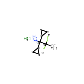 Cl.NC(C1CC1)(C1CC1)C(F)(F)C(F)(F)F